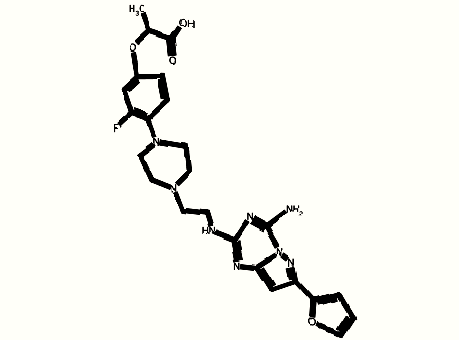 CC(Oc1ccc(N2CCN(CCNc3nc(N)n4nc(-c5ccco5)cc4n3)CC2)c(F)c1)C(=O)O